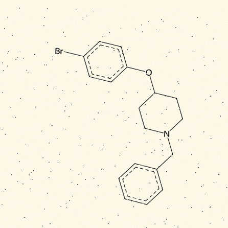 Brc1ccc(OC2CCN(Cc3ccccc3)CC2)cc1